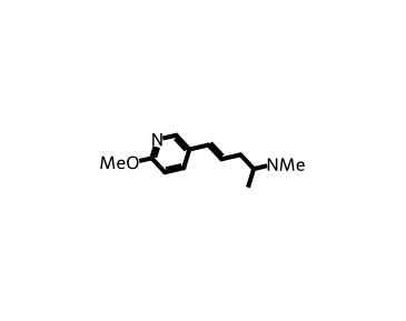 CNC(C)C/C=C/c1ccc(OC)nc1